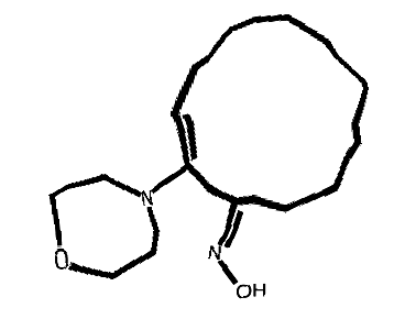 ON=C1CCCCCCCC/C=C\1N1CCOCC1